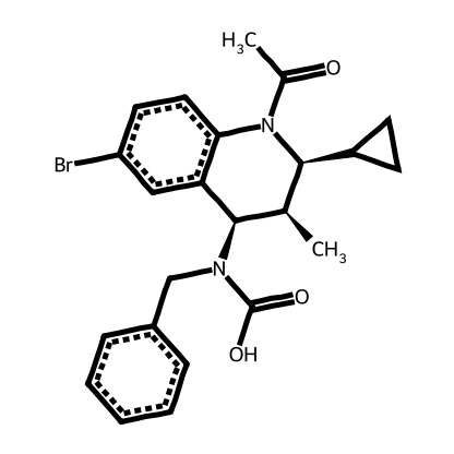 CC(=O)N1c2ccc(Br)cc2[C@H](N(Cc2ccccc2)C(=O)O)[C@H](C)[C@@H]1C1CC1